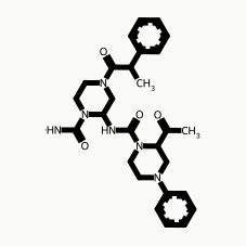 CC(=O)C1CN(c2ccccc2)CCN1C(=O)NC1CN(C(=O)C(C)c2ccccc2)CCN1C([NH])=O